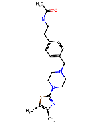 CC(=O)NCCc1ccc(CN2CCN(c3nc(C)c(C)s3)CC2)cc1